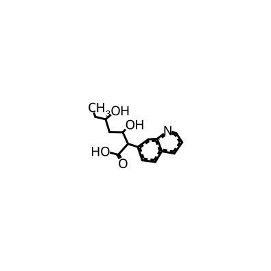 CCC(O)CC(O)C(C(=O)O)c1ccc2cccnc2c1